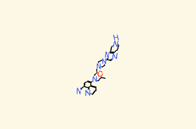 CC1CN(c2ccc(C#N)c3ncccc23)CC(CN2CCN(c3cnc4c(n3)CNCC4)CC2)O1